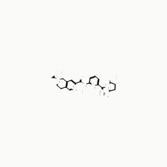 C[C@H]1CCc2nnc(-c3cccc(NC(=O)c4cc5c(cn4)CCN(C(=O)C(C)(C)C)C5)n3)n21